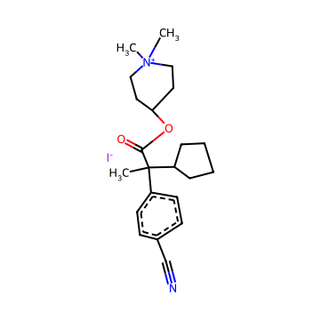 CC(C(=O)OC1CC[N+](C)(C)CC1)(c1ccc(C#N)cc1)C1CCCC1.[I-]